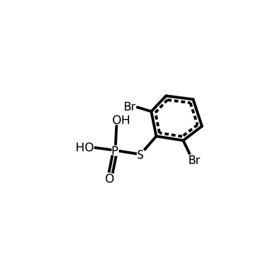 O=P(O)(O)Sc1c(Br)cccc1Br